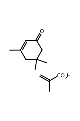 C=C(C)C(=O)O.CC1=CC(=O)CC(C)(C)C1